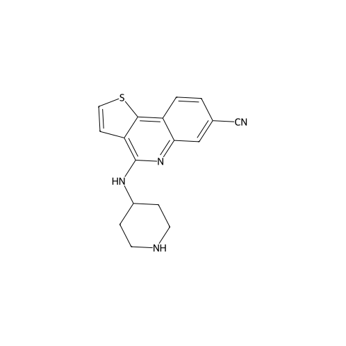 N#Cc1ccc2c(c1)nc(NC1CCNCC1)c1ccsc12